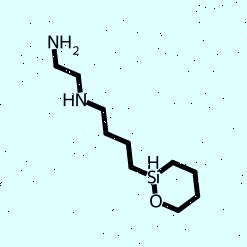 NCCNCCCC[SiH]1CCCCO1